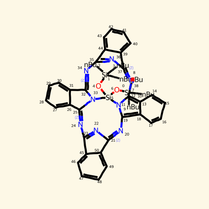 CCCC[Si](CCCC)(CCCC)O[Si]1(O[Si](CCCC)(CCCC)CCCC)n2c3c4ccccc4c2/N=C2N=C(/N=c4/c5ccccc5/c(n41)=N/C1=NC(=N\3)/c3ccccc31)c1ccccc1\2